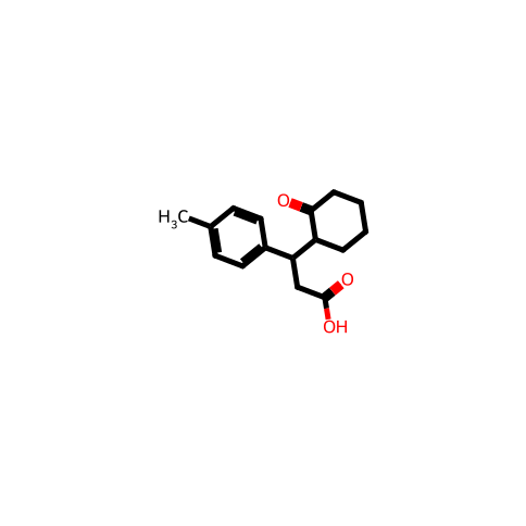 Cc1ccc(C(CC(=O)O)C2CCCCC2=O)cc1